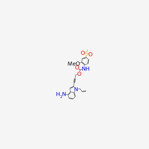 C=CCn1c(C#CCOC(=O)Nc2ccc(S(C)(=O)=O)cc2OC)cc2c(N)cccc21